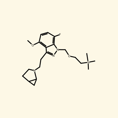 COc1ccc(F)c2c1c(CCN1CCC3CC31)nn2COCC[Si](C)(C)C